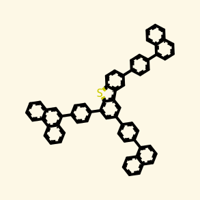 c1ccc2c(-c3ccc(-c4ccc5sc6c(-c7ccc(-c8cc9ccccc9c9ccccc89)cc7)cc(-c7ccc(-c8cccc9ccccc89)cc7)cc6c5c4)cc3)cccc2c1